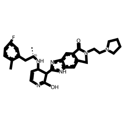 Cc1ccc(F)cc1C[C@H](C)NC1C=CN=C(O)C1c1nc2cc3c(cc2[nH]1)CN(CCN1CCCC1)C3=O